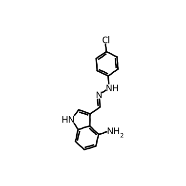 Nc1cccc2[nH]cc(/C=N/Nc3ccc(Cl)cc3)c12